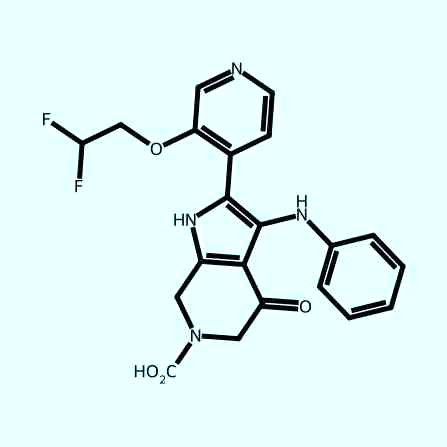 O=C1CN(C(=O)O)Cc2[nH]c(-c3ccncc3OCC(F)F)c(Nc3ccccc3)c21